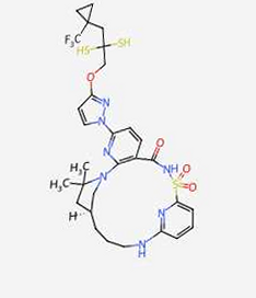 CC1(C)C[C@@H]2CCCNc3cccc(n3)S(=O)(=O)NC(=O)c3ccc(-n4ccc(OCC(S)(S)CC5(C(F)(F)F)CC5)n4)nc3N1C2